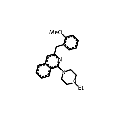 CCN1CCN(c2nc(Cc3ccccc3OC)cc3ccccc23)CC1